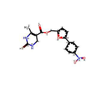 CC1=C(C(=O)OCc2ccc(-c3ccc([N+](=O)[O-])cc3)o2)CNC(=S)N1